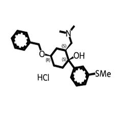 CSc1cccc([C@]2(O)CC[C@@H](OCc3ccccc3)C[C@H]2CN(C)C)c1.Cl